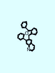 c1ccc(-c2cc3ncccc3cc2-c2oc(-c3ccccc3)c3ccccc23)cc1